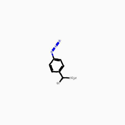 CCC(C(=O)O)c1ccc(N=[N+]=[N-])cc1